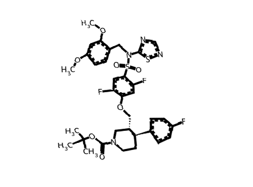 COc1ccc(CN(c2ncns2)S(=O)(=O)c2cc(F)c(OC[C@H]3CN(C(=O)OC(C)(C)C)CC[C@@H]3c3ccc(F)cc3)cc2F)c(OC)c1